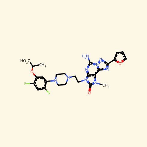 CC(Oc1cc(N2CCN(CCn3c(=O)n(C)c4c3nc(N)n3nc(-c5ccco5)nc43)CC2)c(F)cc1F)C(=O)O